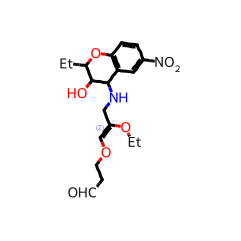 CCO/C(=C\OCCC=O)CNC1c2cc([N+](=O)[O-])ccc2OC(CC)C1O